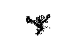 C=C[C@@H]1C[C@]1(NC(=O)[C@@H]1C[C@@H](OC(=O)N2Cc3cccc(F)c3C2)CN1C(=O)[C@H](CCC(=O)C=CC1CCCC1)NC(=O)OC(C)(C)C)C(=O)NS(=O)(=O)C1CC1